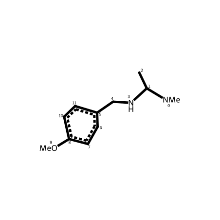 CNC(C)NCc1ccc(OC)cc1